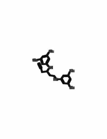 C#CCC(CCNc1cc(C(C)(C)C)cc(C(C)(C)C)c1)Nc1cc(C(C)(C)C)cc(C(C)(C)C)c1